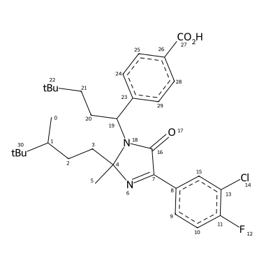 CC(CCC1(C)N=C(c2ccc(F)c(Cl)c2)C(=O)N1C(CCC(C)(C)C)c1ccc(C(=O)O)cc1)C(C)(C)C